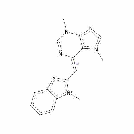 CN1C=N/C(=C\c2sc3ccccc3[n+]2C)c2c1ncn2C